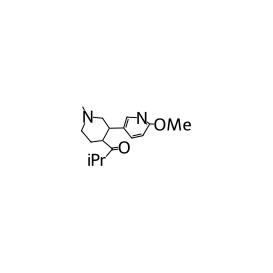 COc1ccc(C2CN(C)CCC2C(=O)C(C)C)cn1